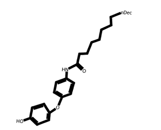 CCCCCCCCCCCCCCCCCC(=O)Nc1ccc(Oc2ccc(O)cc2)cc1